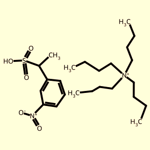 CC(c1cccc([N+](=O)[O-])c1)S(=O)(=O)O.CCCC[N+](CCCC)(CCCC)CCCC